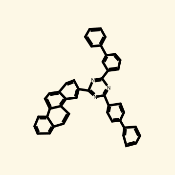 c1ccc(-c2ccc(-c3nc(-c4cccc(-c5ccccc5)c4)nc(-c4ccc5ccc6c7ccccc7ccc6c5c4)n3)cc2)cc1